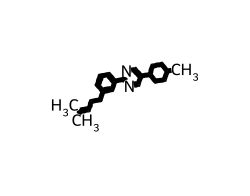 CC(C)=CCCc1cccc(-c2ncc(C3CCC(C)CC3)cn2)c1